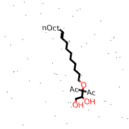 CCCCCCCCC=CCCCCCCCCOC(C(C)=O)(C(C)=O)C(O)CO